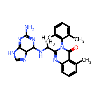 Cc1cccc(C)c1-n1c(C(C)NC2N=C(N)N=C3NC=NC32)nc2cccc(C)c2c1=O